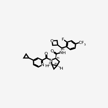 O=C(N[C@@H](c1ccc(C(F)(F)F)cc1F)C1COC1)[C@H]1C[C@H]2C[C@H]2N1C(=O)c1cc(C2CC2)ccn1